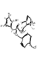 O=P(Oc1ccc(Cl)cc1)(Oc1nc[nH]n1)Oc1nc[nH]n1